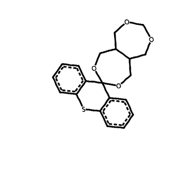 c1ccc2c(c1)Sc1ccccc1C21OCC2COCOCC2CO1